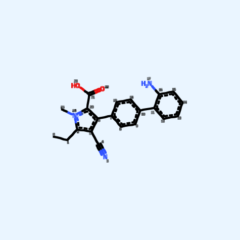 CCc1c(C#N)c(-c2ccc(-c3ccccc3N)cc2)c(C(=O)O)n1C